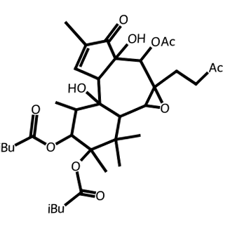 CCC(C)C(=O)OC1C(C)C2(O)C3C=C(C)C(=O)C3(O)C(OC(C)=O)C3(CCC(C)=O)OC3C2C(C)(C)C1(C)OC(=O)C(C)CC